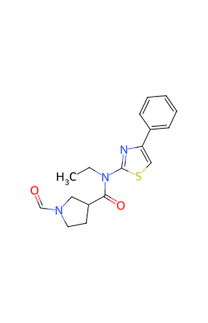 CCN(C(=O)C1CCN(C=O)C1)c1nc(-c2ccccc2)cs1